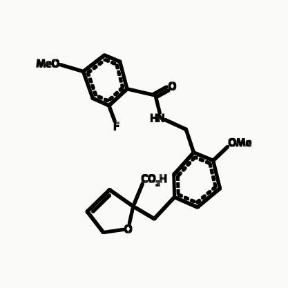 COc1ccc(C(=O)NCc2cc(CC3(C(=O)O)C=CCO3)ccc2OC)c(F)c1